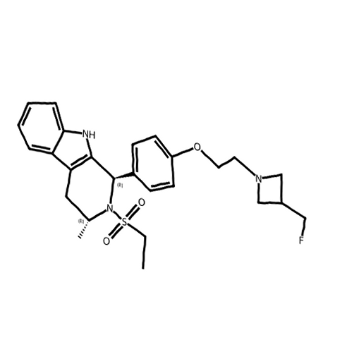 CCS(=O)(=O)N1[C@H](c2ccc(OCCN3CC(CF)C3)cc2)c2[nH]c3ccccc3c2C[C@H]1C